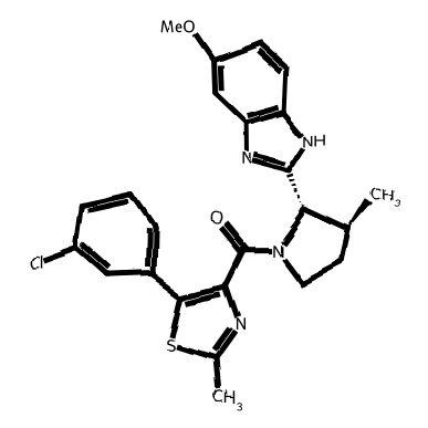 COc1ccc2[nH]c([C@@H]3[C@@H](C)CCN3C(=O)c3nc(C)sc3-c3cccc(Cl)c3)nc2c1